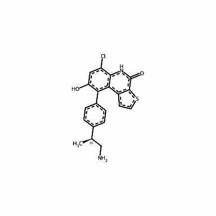 C[C@H](CN)c1ccc(-c2c(O)cc(Cl)c3[nH]c(=O)c4sccc4c23)cc1